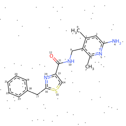 Cc1cc(N)nc(C)c1CNC(=O)c1csc(Cc2ccccc2)n1